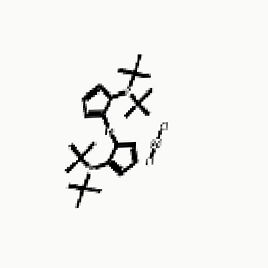 CC(C)(C)P(C1=CC=C[CH]1[Fe][C]1=CC=CC1P(C(C)(C)C)C(C)(C)C)C(C)(C)C.[Cl][Pd][Cl]